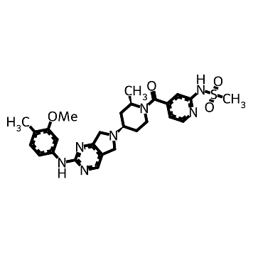 COc1cc(Nc2ncc3c(n2)CN([C@@H]2CCN(C(=O)c4ccnc(NS(C)(=O)=O)c4)[C@H](C)C2)C3)ccc1C